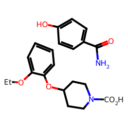 CCOc1ccccc1OC1CCN(C(=O)O)CC1.NC(=O)c1ccc(O)cc1